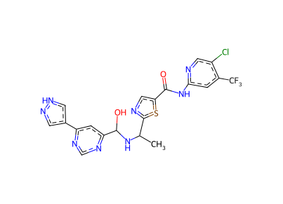 CC(NC(O)c1cc(-c2cn[nH]c2)ncn1)c1ncc(C(=O)Nc2cc(C(F)(F)F)c(Cl)cn2)s1